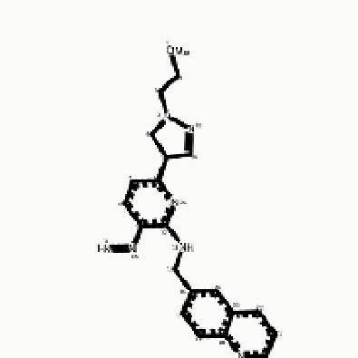 COCCN1CC(c2ccc(N=N)c(NCc3ccc4ncccc4c3)n2)C=N1